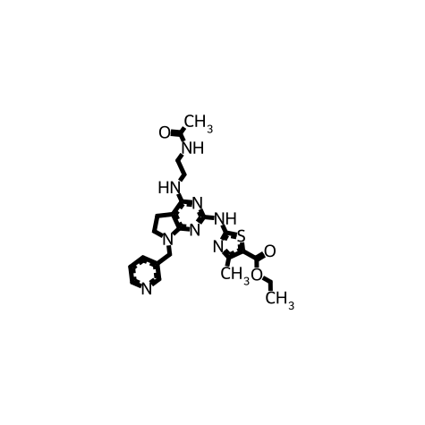 CCOC(=O)c1sc(Nc2nc(NCCNC(C)=O)c3c(n2)N(Cc2cccnc2)CC3)nc1C